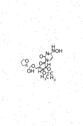 CC1(C)O[C@@H]2[C@H](O1)[C@@H](COC(O)[C@@H]1CCCO1)O[C@H]2n1ccc(NO)nc1=O